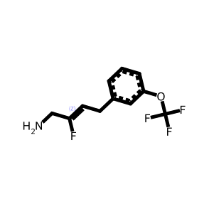 NC/C(F)=C/Cc1cccc(OC(F)(F)F)c1